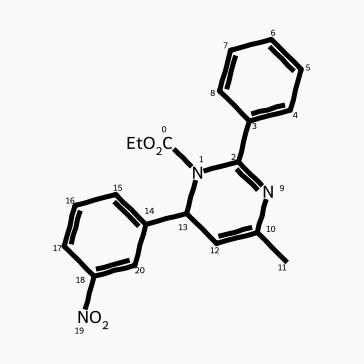 CCOC(=O)N1C(c2ccccc2)=NC(C)=CC1c1cccc([N+](=O)[O-])c1